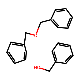 OCc1ccccc1.c1ccc(COCc2ccccc2)cc1